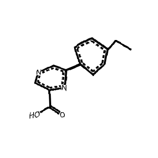 CCc1ccc(-c2cncc(C(=O)O)n2)cc1